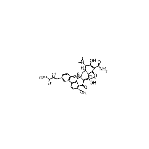 CCCCC(CC)NCc1ccc(OC)c(-c2ccc(O)c3c2C[C@H]2C[C@H]4[C@H](N(C)C)C(O)=C(C(N)=O)C(=O)[C@@]4(O)C(O)=C2C3=O)c1